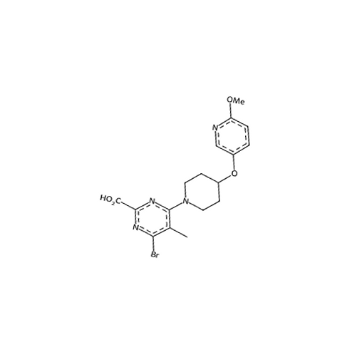 COc1ccc(OC2CCN(c3nc(C(=O)O)nc(Br)c3C)CC2)cn1